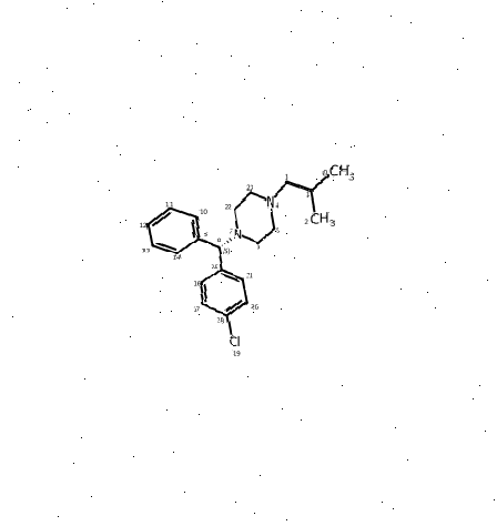 CC(C)CN1CCN([C@@H](c2ccccc2)c2ccc(Cl)cc2)CC1